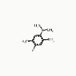 Cc1cc(N(C)N)c(N)cc1F